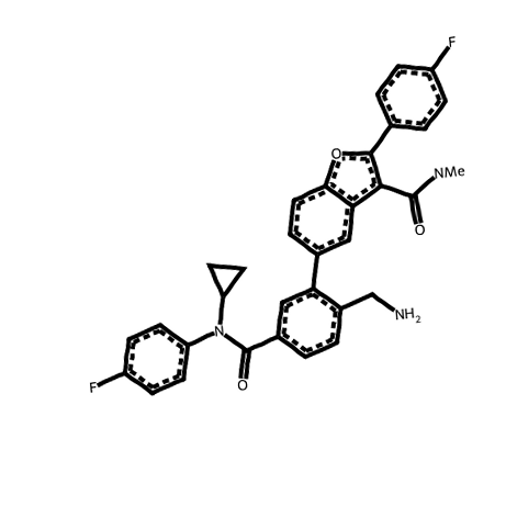 CNC(=O)c1c(-c2ccc(F)cc2)oc2ccc(-c3cc(C(=O)N(c4ccc(F)cc4)C4CC4)ccc3CN)cc12